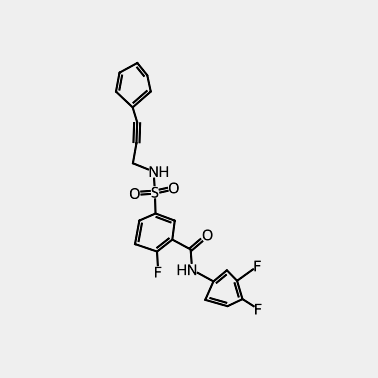 O=C(Nc1ccc(F)c(F)c1)c1cc(S(=O)(=O)NCC#Cc2ccccc2)ccc1F